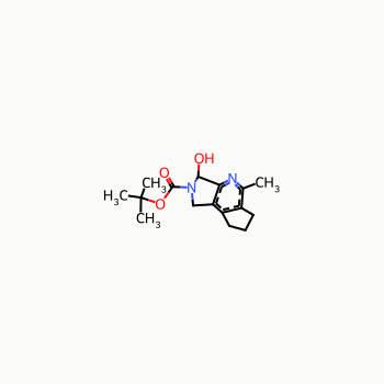 Cc1nc2c(c3c1CCC3)CN(C(=O)OC(C)(C)C)C2O